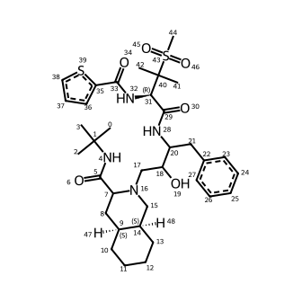 CC(C)(C)NC(=O)C1C[C@@H]2CCCC[C@@H]2CN1CC(O)C(Cc1ccccc1)NC(=O)[C@@H](NC(=O)c1cccs1)C(C)(C)S(C)(=O)=O